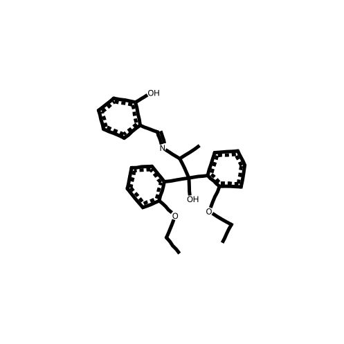 CCOc1ccccc1C(O)(c1ccccc1OCC)C(C)N=Cc1ccccc1O